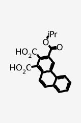 CC(C)OC(=O)c1cc2c(ccc3ccccc32)c(C(=O)O)c1C(=O)O